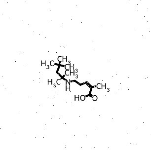 CC(=CCCNC(C)(C)CC(C)(C)C)C(=O)O